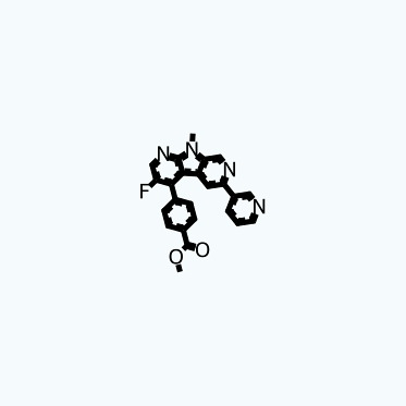 COC(=O)c1ccc(-c2c(F)cnc3c2c2cc(-c4cccnc4)ncc2n3C)cc1